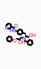 O=C(Nc1ccc(C[C@@H](CO)N(Cc2ccccc2)C[C@H](O)COc2ccccc2)cc1)c1cccnc1